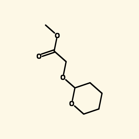 COC(=O)COC1CCCCO1